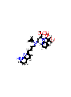 O=C(O)[C@H](CCN(CCCCc1ccc2c(n1)NCCC2)C1CC1)NC(=O)C1(c2ccccc2)COC1